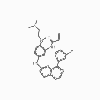 C=CC(=O)Nc1cc(Nc2ncc3ccnc(-c4cccc(F)c4)c3n2)ccc1N(C)CCN(C)C